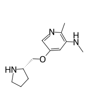 CNc1cc(OC[C@@H]2CCCN2)cnc1C